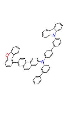 c1ccc(-c2cccc(N(c3ccc(-c4cccc(-n5c6ccccc6c6ccccc65)c4)cc3)c3ccc4c(ccc5cc(-c6cccc7oc8ccccc8c67)ccc54)c3)c2)cc1